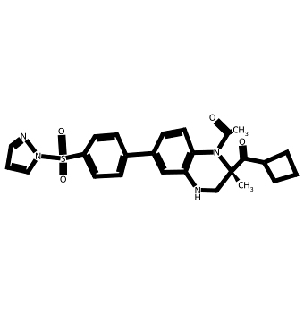 CC(=O)N1c2ccc(-c3ccc(S(=O)(=O)n4cccn4)cc3)cc2NC[C@@]1(C)C(=O)C1CCC1